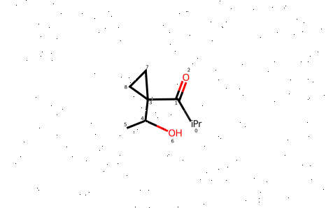 CC(C)C(=O)C1(C(C)O)CC1